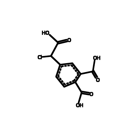 O=C(O)c1ccc(C(Cl)C(=O)O)cc1C(=O)O